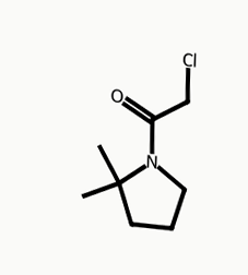 CC1(C)CCCN1C(=O)CCl